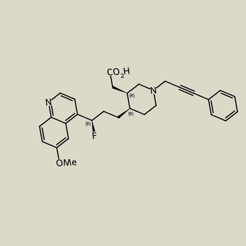 COc1ccc2nccc([C@H](F)CC[C@@H]3CCN(CC#Cc4ccccc4)C[C@@H]3CC(=O)O)c2c1